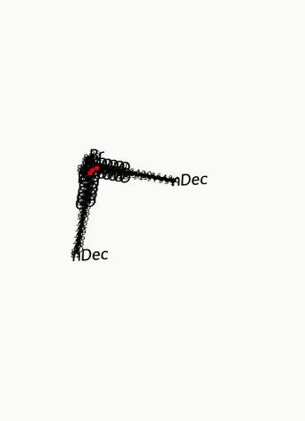 CCCCCCCCCCCCCCCCCCCCCCCCCCC(=O)C(=O)C(=O)C(=O)C(=O)C(=O)C(=O)C(=O)C(=O)C(=O)C(=O)C(=O)C1(C(=O)C(=O)C(=O)C(=O)C(=O)C(=O)C(=O)C(=O)C(=O)C(=O)C(=O)C(=O)CCCCCCCCCCCCCCCCCCCCCCCCCC)c2cc(Br)ccc2-c2ccc(Br)cc21